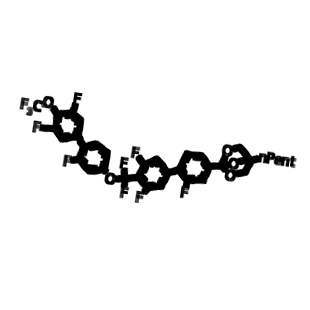 CCCCCC12COC(c3ccc(-c4cc(F)c(C(F)(F)Oc5ccc(-c6cc(F)c(OC(F)(F)F)c(F)c6)c(F)c5)c(F)c4)c(F)c3)(OC1)OC2